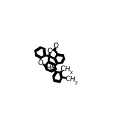 Cc1cccc(Nc2cccc3c2C2(OC3=O)c3ccccc3Oc3ccccc32)c1C